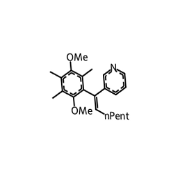 CCCCC/C=C(\c1cccnc1)c1c(C)c(OC)c(C)c(C)c1OC